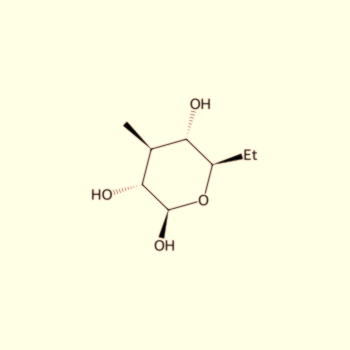 CC[C@H]1O[C@@H](O)[C@H](O)[C@@H](C)[C@@H]1O